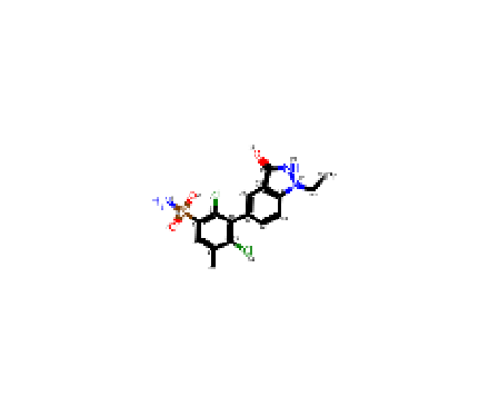 Cc1cc(S(N)(=O)=O)c(Cl)c(-c2ccc3c(c2)c(=O)[nH]n3CC(C)C)c1Cl